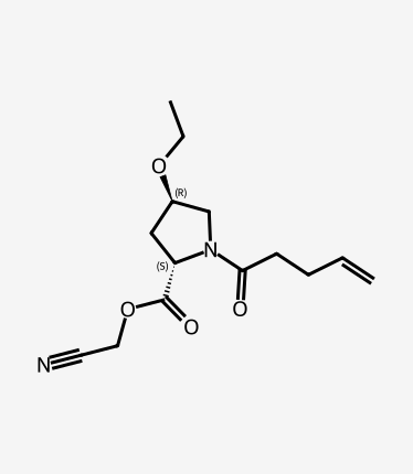 C=CCCC(=O)N1C[C@H](OCC)C[C@H]1C(=O)OCC#N